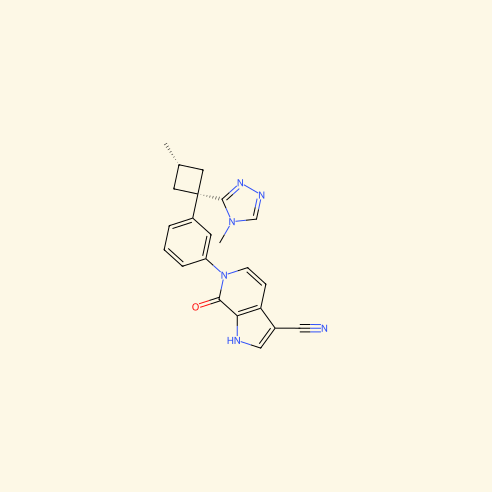 Cn1cnnc1[C@]1(c2cccc(-n3ccc4c(C#N)c[nH]c4c3=O)c2)C[C@H](C)C1